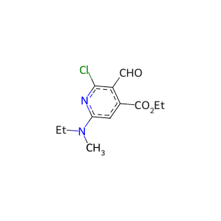 CCOC(=O)c1cc(N(C)CC)nc(Cl)c1C=O